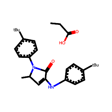 CC1C=C(Nc2ccc(C(C)(C)C)cc2)C(=O)N1c1ccc(C(C)(C)C)cc1.CCC(=O)O